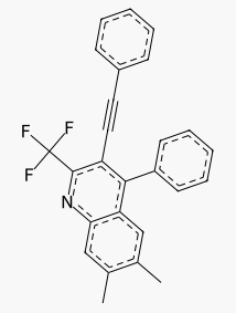 Cc1cc2nc(C(F)(F)F)c(C#Cc3ccccc3)c(-c3ccccc3)c2cc1C